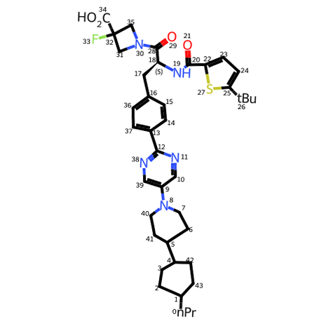 CCCC1CCC(C2CCN(c3cnc(-c4ccc(C[C@H](NC(=O)c5ccc(C(C)(C)C)s5)C(=O)N5CC(F)(C(=O)O)C5)cc4)nc3)CC2)CC1